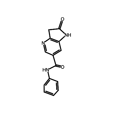 O=C1Cc2ncc(C(=O)Nc3ccccc3)cc2N1